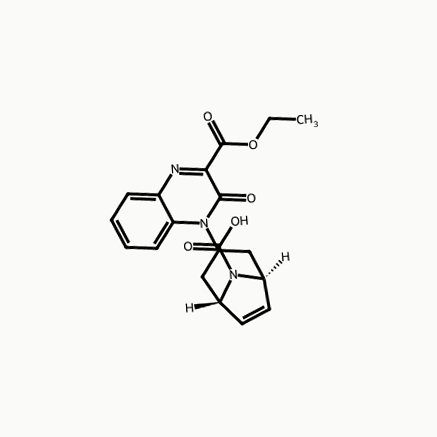 CCOC(=O)c1nc2ccccc2n(C2C[C@H]3C=C[C@H](C2)N3C(=O)O)c1=O